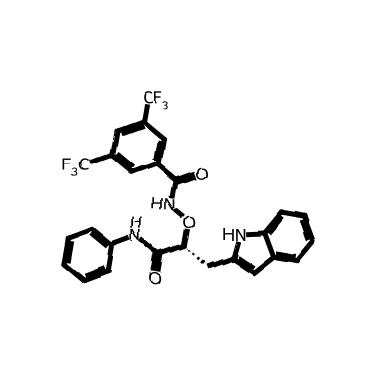 O=C(NO[C@H](Cc1cc2ccccc2[nH]1)C(=O)Nc1ccccc1)c1cc(C(F)(F)F)cc(C(F)(F)F)c1